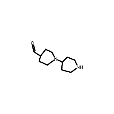 O=CC1CCN(C2CCNCC2)CC1